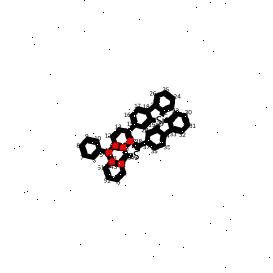 c1ccc(N(c2ccccc2)c2ccc(-c3ccc4c(c3)[Si]3(c5ccccc5-4)c4ccccc4-c4ccc(-c5nc6ccccc6s5)cc43)cc2)cc1